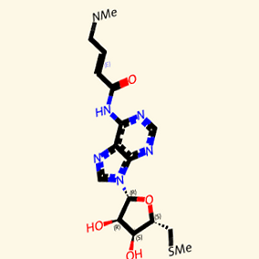 CNC/C=C/C(=O)Nc1ncnc2c1ncn2[C@@H]1O[C@H](CSC)[C@@H](O)[C@H]1O